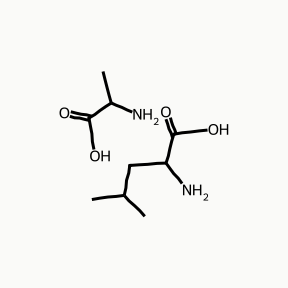 CC(C)CC(N)C(=O)O.CC(N)C(=O)O